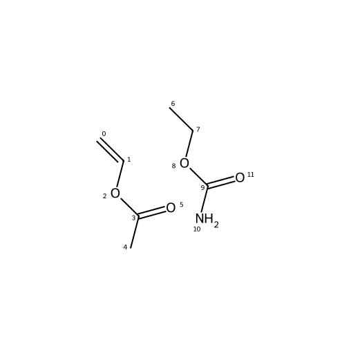 C=COC(C)=O.CCOC(N)=O